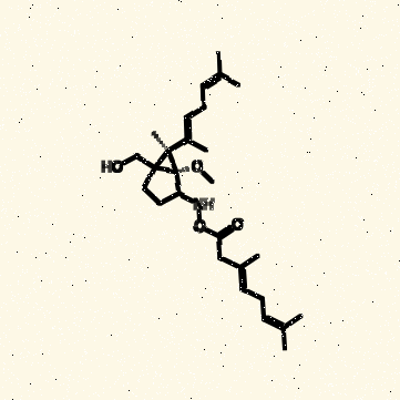 CO[C@]12C(NOC(=O)C/C(C)=C/CC=C(C)C)CCC1(CO)[C@@]2(C)/C(C)=C/CC=C(C)C